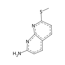 CSc1ccc2ccc(N)nc2n1